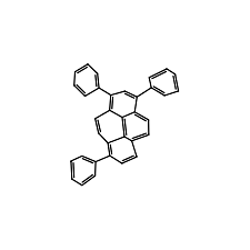 c1ccc(-c2ccc3ccc4c(-c5ccccc5)cc(-c5ccccc5)c5ccc2c3c45)cc1